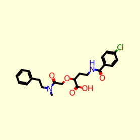 CN(CCc1ccccc1)C(=O)COC(CCNC(=O)c1ccc(Cl)cc1)C(=O)O